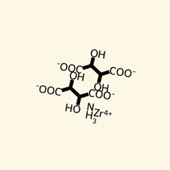 N.O=C([O-])C(O)C(O)C(=O)[O-].O=C([O-])C(O)C(O)C(=O)[O-].[Zr+4]